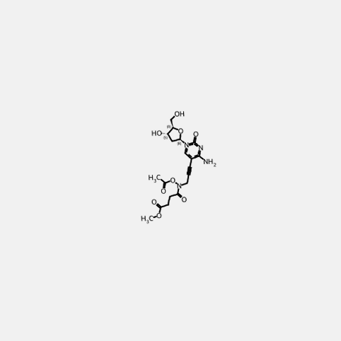 COC(=O)CCC(=O)N(CC#Cc1cn([C@H]2C[C@H](O)[C@@H](CO)O2)c(=O)nc1N)OC(C)=O